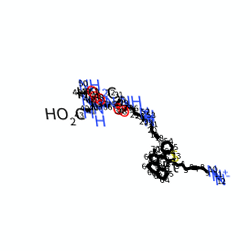 CCC1=C(CCCC#CCCN=[N+]=[N-])SC2=C(C[C@H](C#CCCn3cc(CCC(=O)N[C@@H](CC(=O)O)C(=O)NCC(=O)N[C@@H](CCC(=O)O)C(=O)N[C@@H](C)C(N)=O)nn3)CC2)/C1=C1/c2c(ccc3ccccc23)CC1C